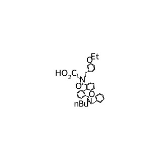 CCCCN(Cc1ccccc1)C(=O)c1ccccc1-c1ccccc1C(=O)N(CCC(=O)O)CCc1cccc(OCC)c1